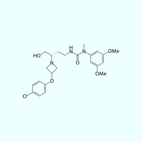 COc1cc(OC)cc(N(C)C(=O)NCC[C@@H](CO)N2CC(Oc3ccc(Cl)cc3)C2)c1